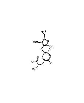 C[C@H](Oc1cc(Oc2c(C#N)c(C3CC3)nn2C)c(Cl)cc1Cl)C(=O)O